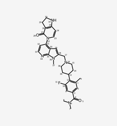 Cc1cc(C(=O)N(C)C)cc(F)c1C1CCN(Cc2cc3c(-n4ccc5c(c4=O)CCN5)ccnc3n2C)CC1